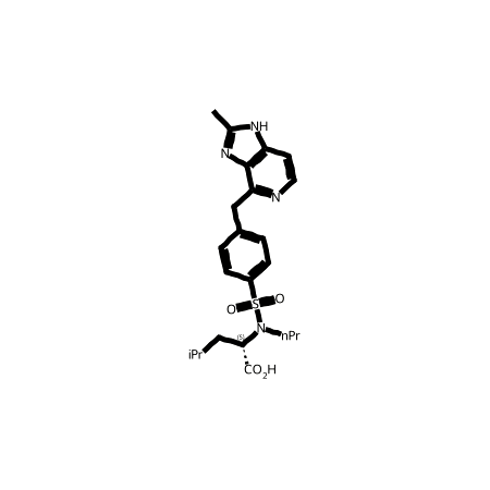 CCCN([C@@H](CC(C)C)C(=O)O)S(=O)(=O)c1ccc(Cc2nccc3[nH]c(C)nc23)cc1